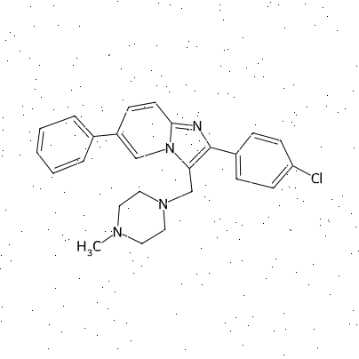 CN1CCN(Cc2c(-c3ccc(Cl)cc3)nc3ccc(-c4ccccc4)cn23)CC1